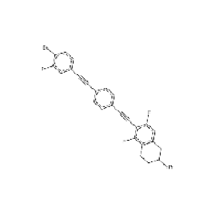 CCCC1CCc2c(cc(F)c(C#Cc3ccc(C#Cc4ccc(CC)c(F)c4)cc3)c2F)C1